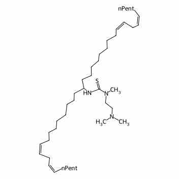 CCCCC/C=C\C/C=C\CCCCCCCCC(CCCCCCCC/C=C\C/C=C\CCCCC)NC(=S)N(C)CCN(C)C